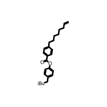 C=CCCCCCCc1ccc(C(=O)Oc2ccc(CC(C)CC)cc2)cc1